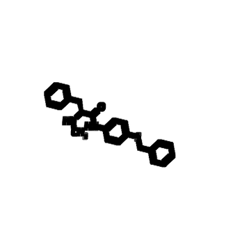 CN[C@@H](Cc1ccccc1)C(=O)Nc1ccc(SCc2ccccc2)cc1